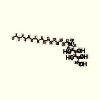 CCCCCCCCCCCCCCCCCC[N+](C)(C)CC(O)C(O)C(O)C(O)CO